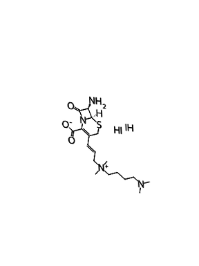 CN(C)CCCC[N+](C)(C)C/C=C/C1=C(C(=O)[O-])N2C(=O)[C@@H](N)[C@H]2SC1.I.I